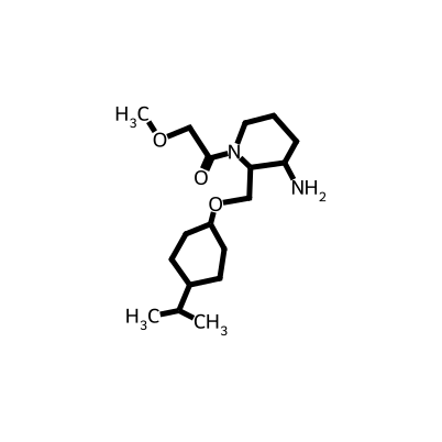 COCC(=O)N1CCCC(N)C1COC1CCC(C(C)C)CC1